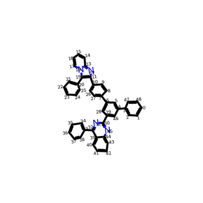 c1ccc(-c2cc(-c3ccc(-c4nc5ccccn5c4-c4ccccc4)cc3)cc(-c3nc(-c4ccccc4)c4ccccc4n3)c2)cc1